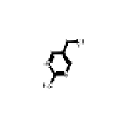 Cc1ncc(C[NH])cn1